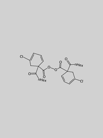 CCCCCCC(=O)C1(C(=O)OOC(=O)C2(C(=O)CCCCCC)C=CC=C(Cl)C2)C=CC=C(Cl)C1